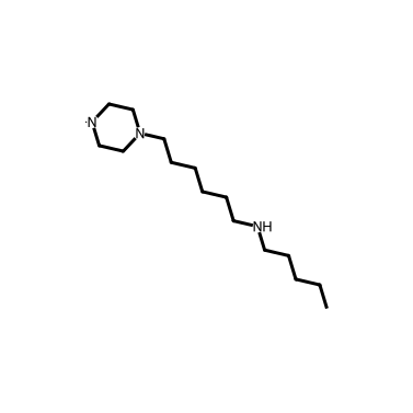 CCCCCNCCCCCCN1CC[N]CC1